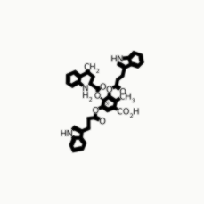 C=C(CCC(=O)O[C@@H]1C(OC(=O)CCc2c[nH]c3ccccc23)=C=C(C(=O)O)C(C)=C1OC(=O)CCc1c[nH]c2ccccc12)c1ccccc1N